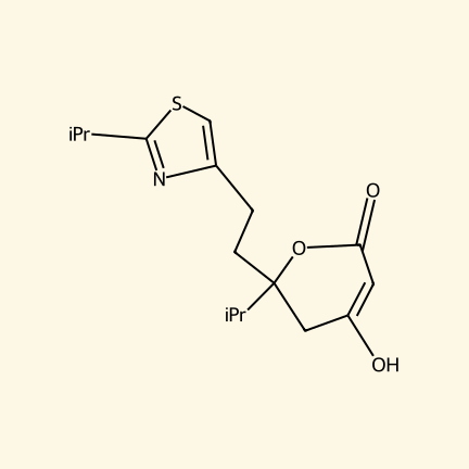 CC(C)c1nc(CCC2(C(C)C)CC(O)=CC(=O)O2)cs1